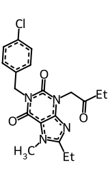 CCC(=O)Cn1c(=O)n(Cc2ccc(Cl)cc2)c(=O)c2c1nc(CC)n2C